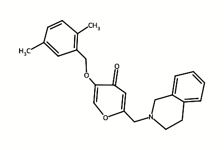 Cc1ccc(C)c(COc2coc(CN3CCc4ccccc4C3)cc2=O)c1